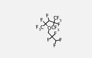 FC(F)C(F)(F)COC(F)(C(F)C(F)(C(F)(F)F)C(F)(F)F)C(F)(F)F